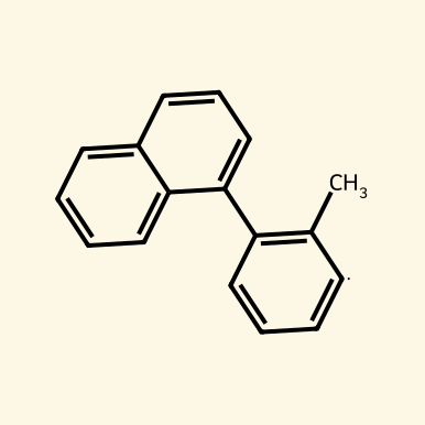 Cc1[c]cccc1-c1cccc2ccccc12